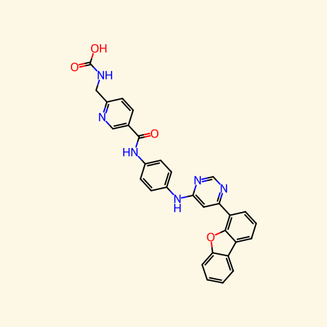 O=C(O)NCc1ccc(C(=O)Nc2ccc(Nc3cc(-c4cccc5c4oc4ccccc45)ncn3)cc2)cn1